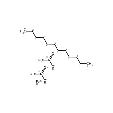 CCCCCCCCCCCC.O=[N+]([O-])[O-].O=[N+]([O-])[O-].[Fe+2]